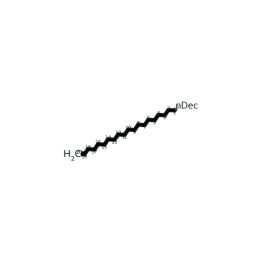 [CH2]CCCCCCCCCCCCCCCCCCCCCCCCCCCC=C